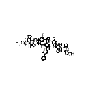 COC(=O)N[C@@H](C1CCCC1)C(O)N1CCC[C@H]1c1nc2cc([C@H]3CC[C@H](c4cc5nc([C@@H]6CCCN6C(=O)[C@@H](NC(=O)OC)C6CCCC6)[nH]c5cc4F)N3c3cc(F)c(N4CCC(c5ccccc5)CC4)c(F)c3)c(F)cc2[nH]1